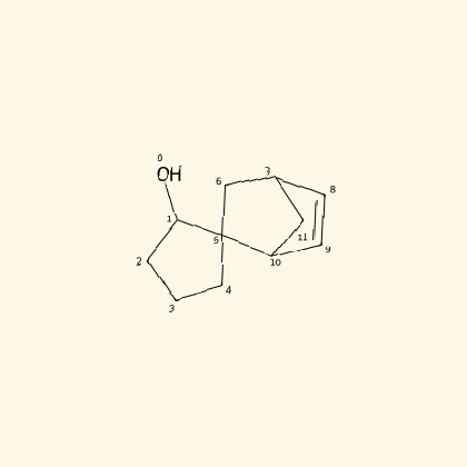 OC1CCCC12CC1C=CC2C1